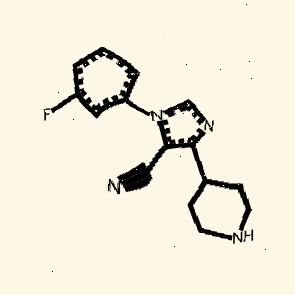 N#Cc1c(C2CCNCC2)ncn1-c1cccc(F)c1